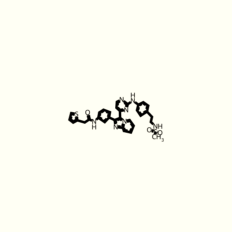 CS(=O)(=O)NCCc1ccc(Nc2nccc(-c3c(-c4cccc(NC(=O)Cc5cccs5)c4)nc4ccccn34)n2)cc1